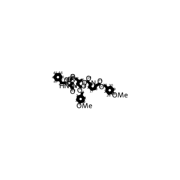 COc1ccc(COC(=O)C2=C(COC(=O)c3cccc(C(=O)OCc4ccc(OC)cc4)n3)CS(=O)(=O)[C@@H]3[C@H](NC(=O)Cc4ccccc4)C(=O)N23)cc1